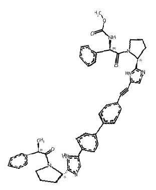 COC(=O)N[C@@H](C(=O)N1CCC[C@H]1c1ncc(C#Cc2ccc(-c3ccc(-c4cnc([C@@H]5CCCN5C(=O)[C@H](C)c5ccccc5)[nH]4)cc3)cc2)[nH]1)c1ccccc1